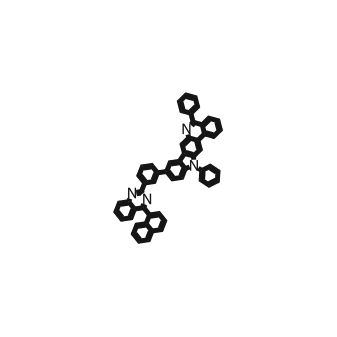 c1ccc(-c2nc3cc4c5cc(-c6cccc(-c7nc(-c8cccc9ccccc89)c8ccccc8n7)c6)ccc5n(-c5ccccc5)c4cc3c3ccccc23)cc1